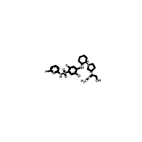 C=C=C(CO)[C@H]1CCN([C@@H]2CCCC[C@H]2Nc2cc(F)c(S(=O)(=O)Nc3cccc(F)n3)cc2Cl)C1